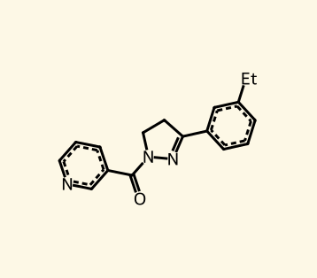 CCc1cccc(C2=NN(C(=O)c3cccnc3)CC2)c1